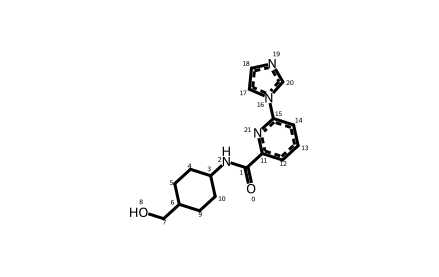 O=C(NC1CCC(CO)CC1)c1cccc(-n2ccnc2)n1